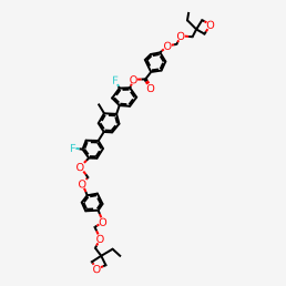 CCC1(COCOc2ccc(OCOc3ccc(-c4ccc(-c5ccc(OC(=O)c6ccc(OCOCC7(CC)COC7)cc6)c(F)c5)c(C)c4)cc3F)cc2)COC1